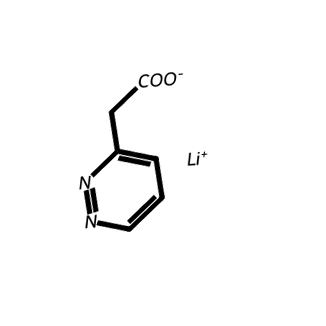 O=C([O-])Cc1cccnn1.[Li+]